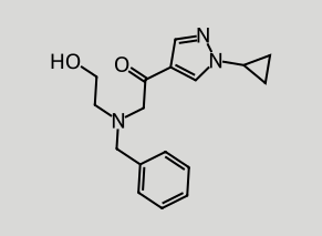 O=C(CN(CCO)Cc1ccccc1)c1cnn(C2CC2)c1